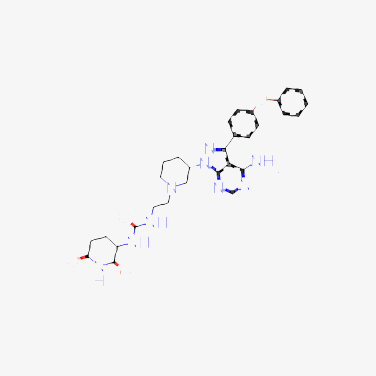 Nc1ncnc2c1c(-c1ccc(Oc3ccccc3)cc1)nn2[C@@H]1CCCN(CCNC(=O)NC2CCC(=O)NC2=O)C1